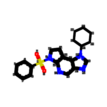 O=S(=O)(c1ccccc1)n1ccc2c3c(cnc21)ncn3C1CCCCC1